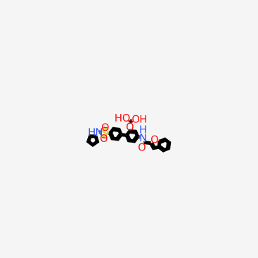 O=C(Nc1ccc(-c2ccc(S(=O)(=O)NC3CCCC3)cc2)cc1)c1cc2ccccc2o1.O=C(O)O